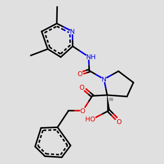 Cc1cc(C)nc(NC(=O)N2CCC[C@]2(C(=O)O)C(=O)OCc2ccccc2)c1